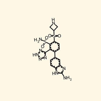 Nc1nc2cc(-c3ccc(S(=O)(=O)C4CNC4)c(S(N)(=O)=O)c3-c3nn[nH]n3)ccc2[nH]1